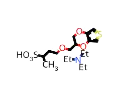 CC(CCOCC1COc2cscc2O1)S(=O)(=O)O.CCN(CC)CC